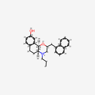 CCCN1CC(Cc2cccc3ccccc23)O[C@@H]2c3cc(O)ccc3CC[C@H]21